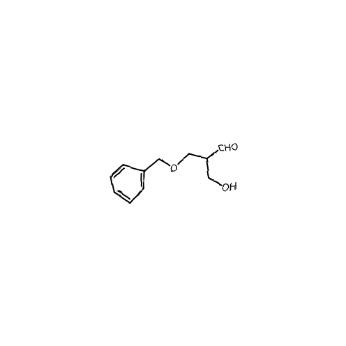 O=CC(CO)COCc1ccccc1